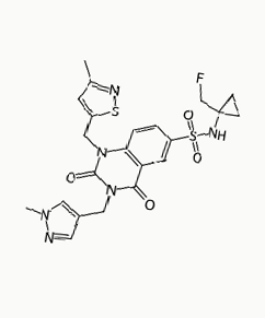 Cc1cc(Cn2c(=O)n(Cc3cnn(C)c3)c(=O)c3cc(S(=O)(=O)NC4(CF)CC4)ccc32)sn1